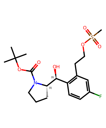 CC(C)(C)OC(=O)N1CCC[C@H]1[C@@H](O)c1ccc(F)cc1CCOS(C)(=O)=O